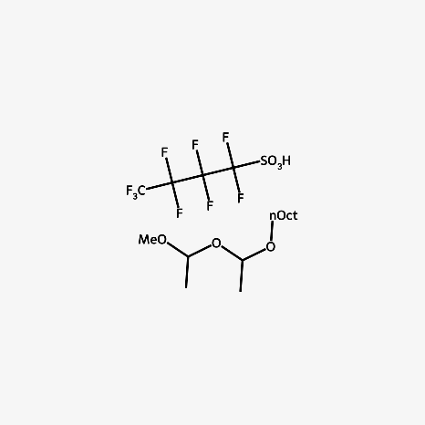 CCCCCCCCOC(C)OC(C)OC.O=S(=O)(O)C(F)(F)C(F)(F)C(F)(F)C(F)(F)F